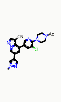 CC(=O)N1CCN(c2ncc(-c3cc(-c4cnn(C)c4)cn4ncc(C#N)c34)cc2Cl)CC1